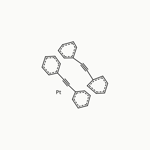 C(#Cc1ccccc1)c1ccccc1.C(#Cc1ccccc1)c1ccccc1.[Pt]